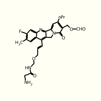 CCCc1cc2n(c(=O)c1COC=O)Cc1c-2nc2cc(F)c(C)cc2c1/C=C/COCNC(=O)CN